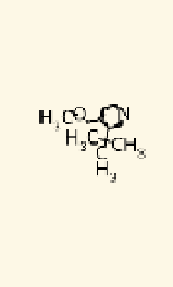 COCc1ccncc1C(C)(C)C